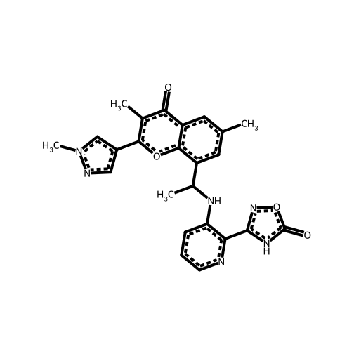 Cc1cc(C(C)Nc2cccnc2-c2noc(=O)[nH]2)c2oc(-c3cnn(C)c3)c(C)c(=O)c2c1